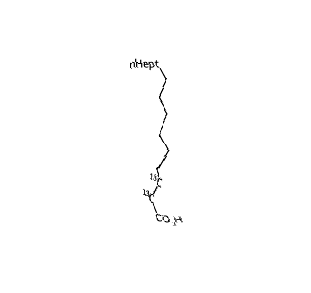 CCCCCCCCCCCCC[13CH2][13CH2][13C](=O)O